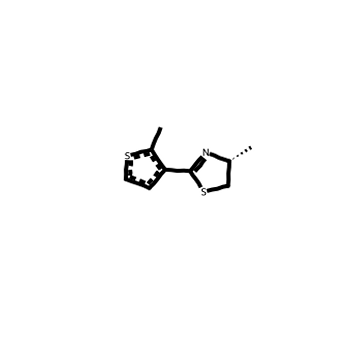 Cc1sccc1C1=N[C@H](C)CS1